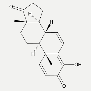 C[C@]12C=CC(=O)C(O)=C1C=C[C@@H]1[C@@H]2CC[C@]2(C)C(=O)CC[C@@H]12